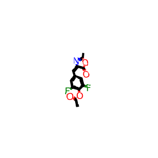 CC(=O)Oc1c(F)cc(C=C2N=C(C)OC2=O)cc1F